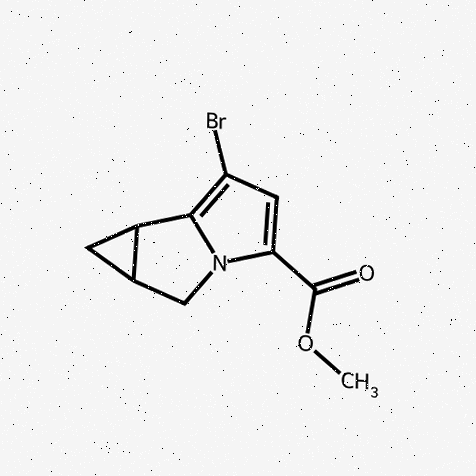 COC(=O)c1cc(Br)c2n1CC1CC21